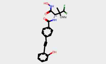 COC(C)(C(F)F)[C@H](NC(=O)c1ccc(C#Cc2ccccc2O)cc1)C(=O)NO